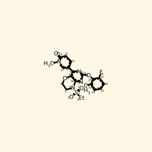 CCS(=O)(=O)N1CCOc2c(-c3ccc(=O)n(C)c3)nc(Oc3c(C)cccc3F)nc21